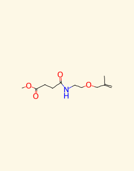 C=C(C)COCCNC(=O)CCC(=O)OC